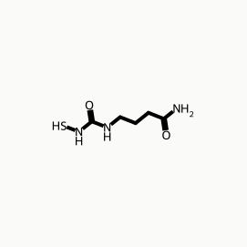 NC(=O)CCCNC(=O)NS